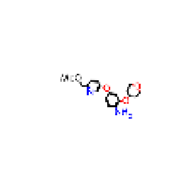 COCc1ccc(Oc2ccc(N)c(OC3CCOCC3)c2)cn1